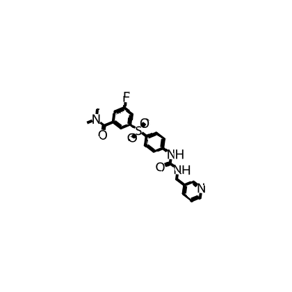 CN(C)C(=O)c1cc(F)cc(S(=O)(=O)c2ccc(NC(=O)NCc3cccnc3)cc2)c1